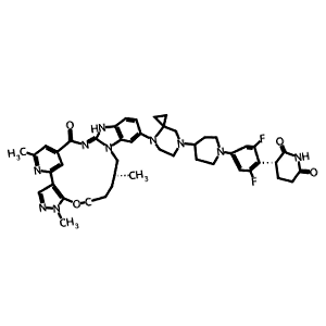 Cc1cc2cc(n1)-c1cnn(C)c1OCCC[C@@H](C)CN1/C(=N/C2=O)Nc2ccc(N3CCN(C4CCN(c5cc(F)c([C@H]6CCC(=O)NC6=O)c(F)c5)CC4)CC34CC4)cc21